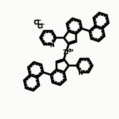 C1=[C]([Zr+2][C]2=Cc3c(-c4cccc5ccccc45)cccc3C2c2ccccn2)C(c2ccccn2)c2cccc(-c3cccc4ccccc34)c21.[Cl-].[Cl-]